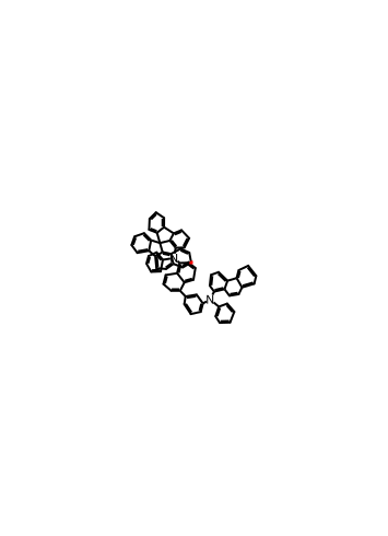 c1ccc(N(c2cccc3c2C2(c4ccccc4-3)c3ccccc3-c3ccc4ccccc4c32)c2cccc3c(-c4cccc(N(c5ccccc5)c5cccc6c5ccc5ccccc56)c4)cccc23)cc1